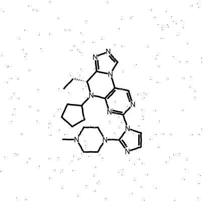 CC[C@@H]1c2nncn2-c2cnc(-n3ccnc3N3CCN(C)CC3)nc2N1C1CCCC1